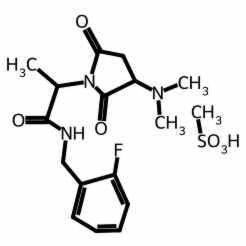 CC(C(=O)NCc1ccccc1F)N1C(=O)CC(N(C)C)C1=O.CS(=O)(=O)O